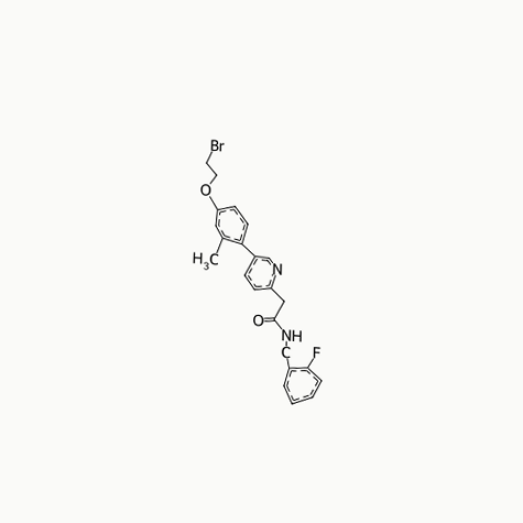 Cc1cc(OCCBr)ccc1-c1ccc(CC(=O)NCc2ccccc2F)nc1